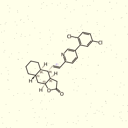 O=C1C[C@@H]2[C@@H](/C=C/c3ccc(-c4cc(Cl)ccc4Cl)cn3)[C@@H]3CCCC[C@H]3C[C@@H]2O1